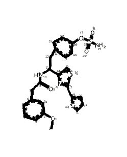 COc1cccc(CC(=O)NC(Cc2ccc(OS(N)(=O)=O)cc2)c2csc(-c3cccs3)n2)c1